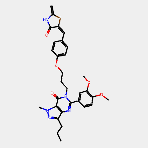 C=c1[nH]c(=O)/c(=C\c2ccc(OCCCn3c(-c4ccc(OC)c(OC)c4)nc4c(CCC)nn(C)c4c3=O)cc2)s1